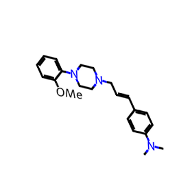 COc1ccccc1N1CCN(CC=Cc2ccc(N(C)C)cc2)CC1